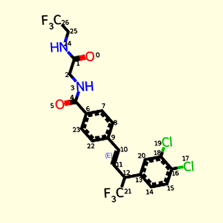 O=C(CNC(=O)c1ccc(/C=C/C(c2ccc(Cl)c(Cl)c2)C(F)(F)F)cc1)NCC(F)(F)F